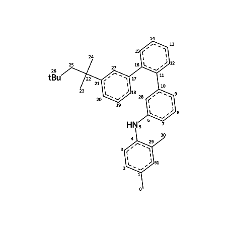 Cc1ccc(Nc2cccc(-c3ccccc3-c3cccc(C(C)(C)CC(C)(C)C)c3)c2)c(C)c1